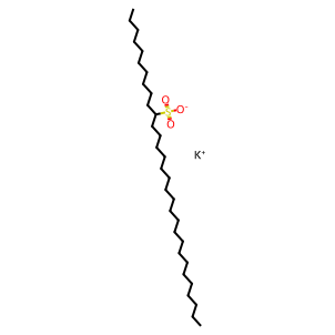 CCCCCCCCCCCCCCCCCCCCC(CCCCCCCCCC)S(=O)(=O)[O-].[K+]